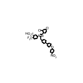 O=C(O)c1cc(-n2cc(-c3ccc(Cl)cc3Cl)nc2Cc2ccc(-c3ccc(Oc4ccc([N+](=O)[O-])cc4)cc3)cc2)ccc1C(F)(F)F